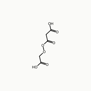 O=C(O)COOC(=O)CC(=O)O